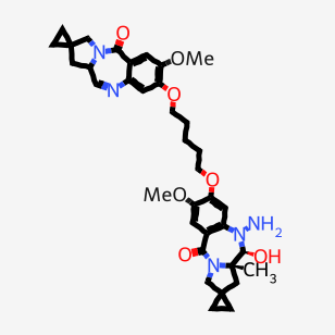 COc1cc2c(cc1OCCCCCOc1cc3c(cc1OC)C(=O)N1CC4(CC4)C[C@@]1(C)[C@H](O)N3N)N=CC1CC3(CC3)CN1C2=O